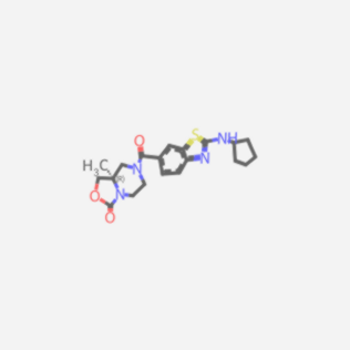 C[C@@]12COC(=O)N1CCN(C(=O)c1ccc3nc(NC4CCCC4)sc3c1)C2